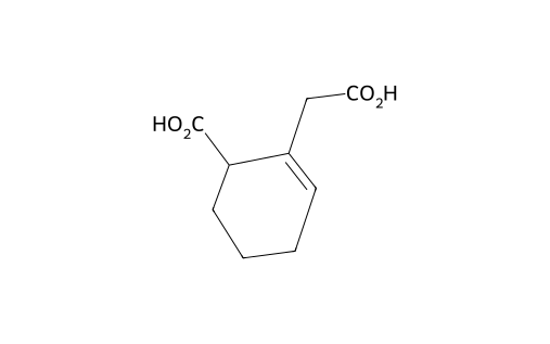 O=C(O)CC1=CCCCC1C(=O)O